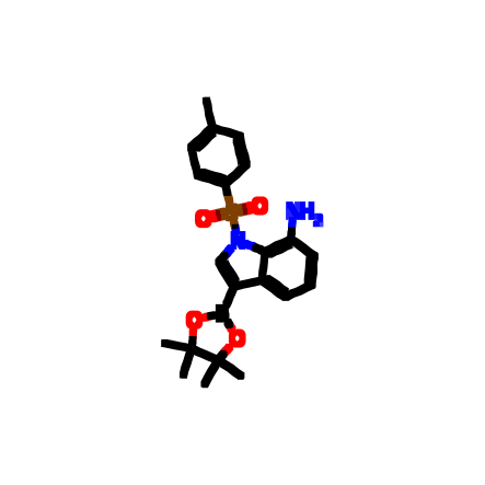 Cc1ccc(S(=O)(=O)n2cc(B3OC(C)(C)C(C)(C)O3)c3cccc(N)c32)cc1